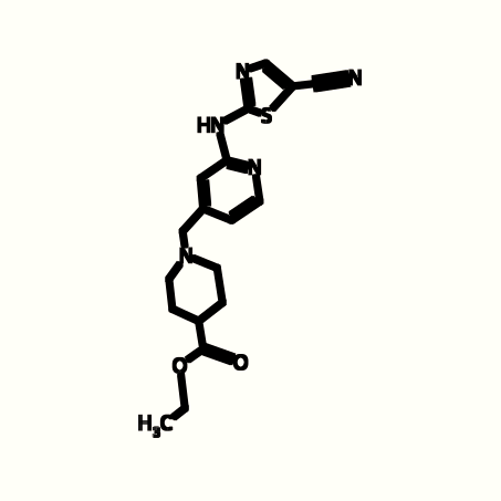 CCOC(=O)C1CCN(Cc2ccnc(Nc3ncc(C#N)s3)c2)CC1